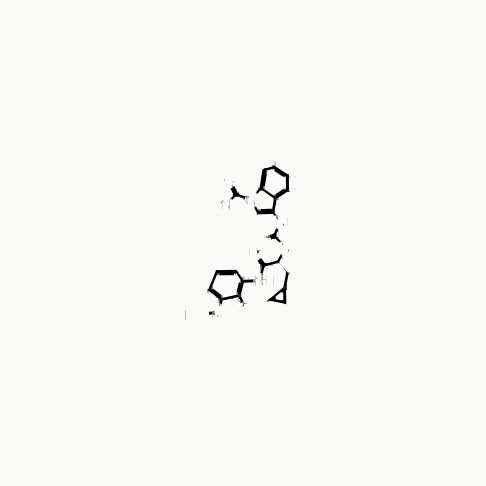 NC(=O)n1cc(NC(=O)N[C@@H](CC2CC2)C(=O)Nc2cccc(OC(F)(F)F)c2F)c2ccccc21